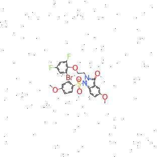 COc1ccc(S(=O)(=O)n2c3ccc(OC)cc3c(=O)n2CCOc2c(F)cc(F)cc2Br)cc1